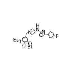 CCOc1cc(CN2CCC(Nc3nc(-c4ccc(F)cc4)co3)CC2)cc(OCC)c1Cl